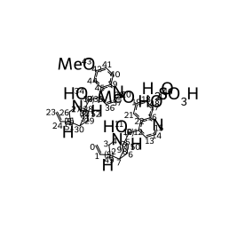 C=C[C@@H]1CN2CCC1C[C@@H]2[C@H](O)c1ccnc2ccc(OC)cc12.C=C[C@@H]1CN2CCC1C[C@@H]2[C@H](O)c1ccnc2ccc(OC)cc12.O.O=S(=O)(O)O